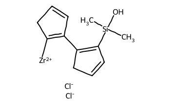 C[Si](C)(O)C1=C(C2=[C]([Zr+2])CC=C2)CC=C1.[Cl-].[Cl-]